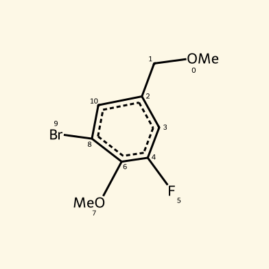 COCc1cc(F)c(OC)c(Br)c1